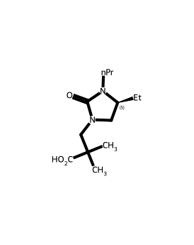 CCCN1C(=O)N(CC(C)(C)C(=O)O)C[C@@H]1CC